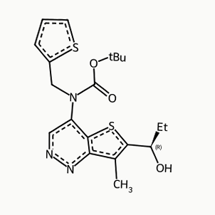 CC[C@@H](O)c1sc2c(N(Cc3cccs3)C(=O)OC(C)(C)C)cnnc2c1C